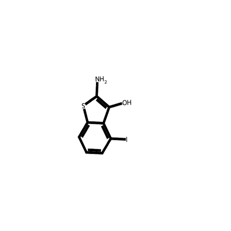 Nc1sc2cccc(I)c2c1O